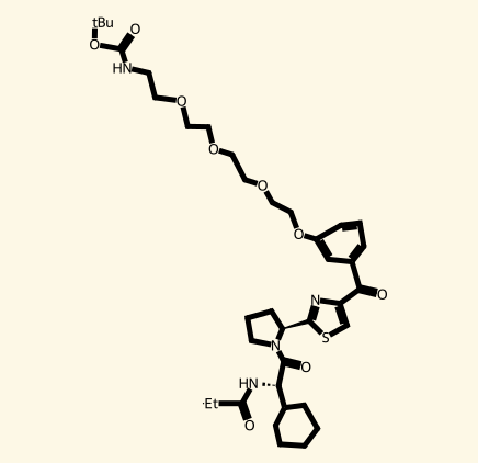 C[CH]C(=O)N[C@H](C(=O)N1CCC[C@H]1c1nc(C(=O)c2cccc(OCCOCCOCCOCCNC(=O)OC(C)(C)C)c2)cs1)C1CCCCC1